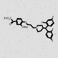 CCOC(=O)C(=O)c1ccc(OCCCN2CCC(C(c3ccc(F)cc3F)c3ccc(F)cc3F)CC2)c(OC)c1